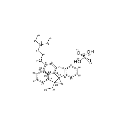 CCN(CC)CCOc1ccc(C2(c3ccccc3)CC2(CC)c2ccccc2)cc1.O=S(=O)(O)O